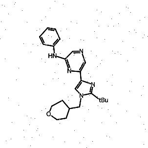 CC(C)(C)c1nc(-c2cncc(Nc3ccccc3)n2)cn1CC1CCOCC1